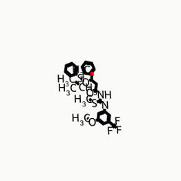 CCC(CC(=O)N/C(=N/c1cc(OC)cc(C(F)(F)F)c1)SC)O[Si](c1ccccc1)(c1ccccc1)C(C)(C)C